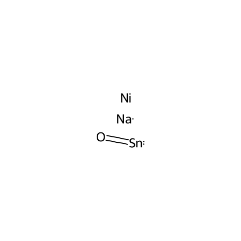 [Na].[Ni].[O]=[Sn]